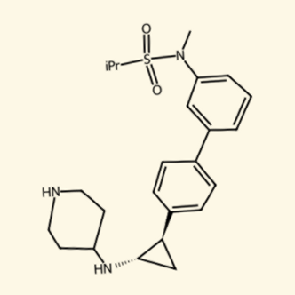 CC(C)S(=O)(=O)N(C)c1cccc(-c2ccc([C@H]3C[C@@H]3NC3CCNCC3)cc2)c1